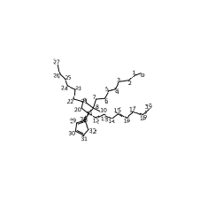 CCCCCCCCC(C)(C)C(CCCCCCCC)(CCCCCCCC)C1=CC=CC1